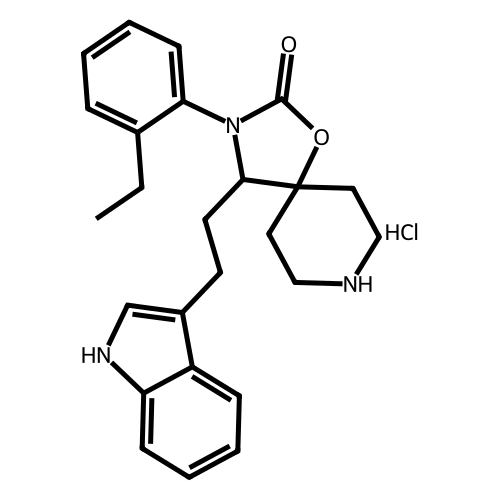 CCc1ccccc1N1C(=O)OC2(CCNCC2)C1CCc1c[nH]c2ccccc12.Cl